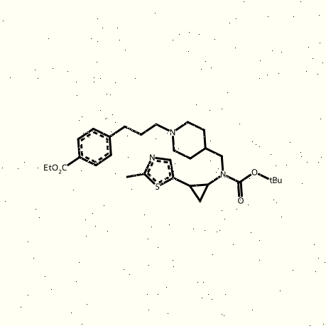 CCOC(=O)c1ccc(CCCN2CCC(CN(C(=O)OC(C)(C)C)C3CC3c3cnc(C)s3)CC2)cc1